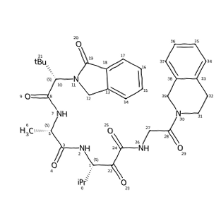 CC(C)[C@H](NC(=O)[C@H](C)NC(=O)[C@@H](N1Cc2ccccc2C1=O)C(C)(C)C)C(=O)C(=O)NCC(=O)N1CCc2ccccc2C1